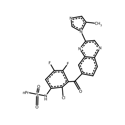 CCCS(=O)(=O)Nc1cc(F)c(F)c(C(=O)c2ccc3ncc(-n4cncc4C)nc3c2)c1Cl